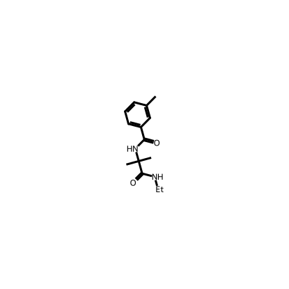 CCNC(=O)C(C)(C)NC(=O)c1cccc(C)c1